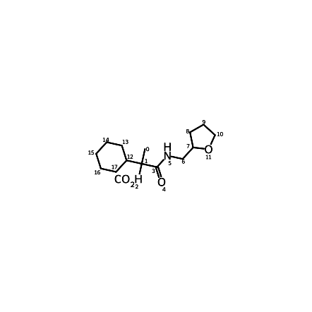 CC(C(=O)O)(C(=O)NCC1CCCO1)C1CCCCC1